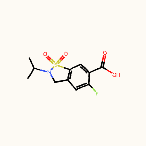 CC(C)N1Cc2cc(F)c(C(=O)O)cc2S1(=O)=O